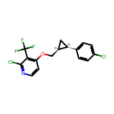 FC(F)(F)c1c(OC[C@H]2C[C@@H]2c2ccc(Cl)cc2)ccnc1Cl